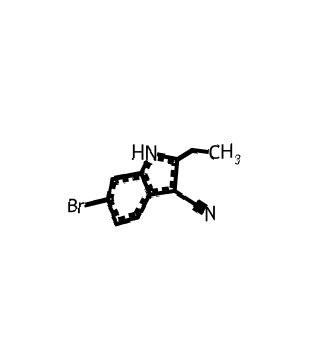 CCc1[nH]c2cc(Br)ccc2c1C#N